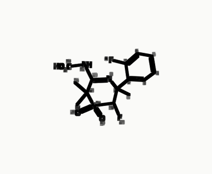 CC1(c2ccccc2F)N=C(NC(=O)O)C(C)(C)S(=O)(=O)C1F